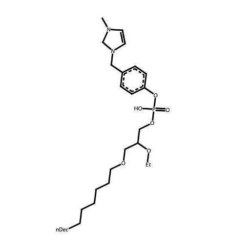 CCCCCCCCCCCCCCCCOCC(COP(=O)(O)Oc1ccc(CN2[CH]N(C)C=C2)cc1)OCC